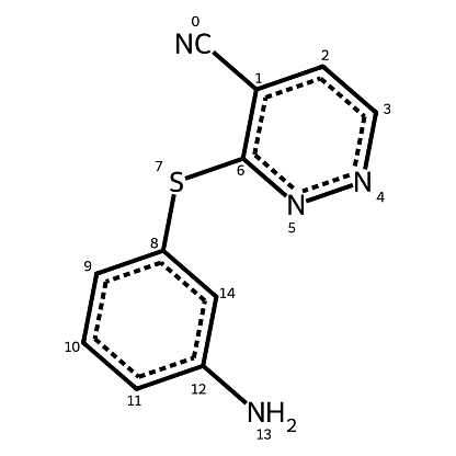 N#Cc1ccnnc1Sc1cccc(N)c1